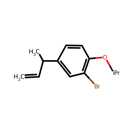 C=C[C](C)c1ccc(OC(C)C)c(Br)c1